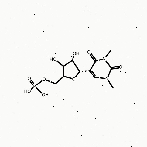 Cn1cc([C@@H]2OC(COP(=O)(O)O)C(O)[C@H]2O)c(=O)n(C)c1=O